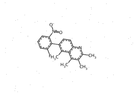 Cc1nc2ccc(-c3c(F)cccc3[N+](=O)[O-])c(C)c2c(C)c1C